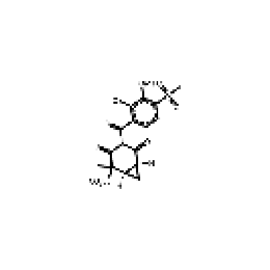 CCOC(=O)[C@@]1(C)C(=O)[C@@H](C(=O)c2ccc(S(C)(=O)=O)c(OC)c2Cl)C(=O)[C@@H]2C[C@H]21